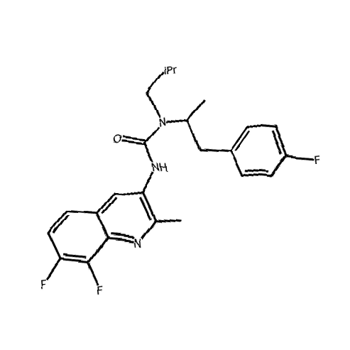 Cc1nc2c(F)c(F)ccc2cc1NC(=O)N(CC(C)C)C(C)Cc1ccc(F)cc1